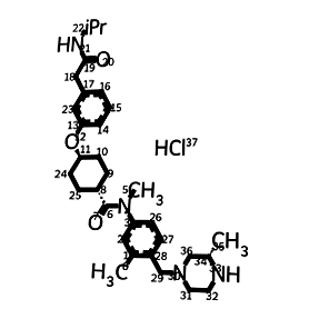 Cc1cc(N(C)C(=O)[C@H]2CC[C@H](Oc3cccc(CC(=O)NC(C)C)c3)CC2)ccc1CN1CCN[C@@H](C)C1.Cl